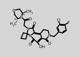 C[C@@H]1COC[C@@H](C)N1C(=O)CN1C(=O)c2c3c(c(O)c(=O)n2C12CCC2)C(=O)N(Cc1ccc(F)c(Cl)c1)CC3